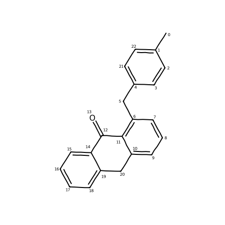 Cc1ccc(Cc2cccc3c2C(=O)c2ccccc2C3)cc1